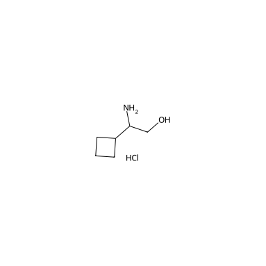 Cl.NC(CO)C1CCC1